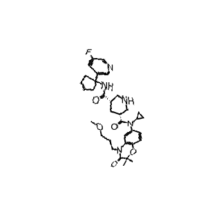 COCCCN1C(=O)C(C)(C)Oc2ccc(N(C(=O)[C@H]3CNC[C@@H](C(=O)NC4(c5cncc(F)c5)CCCC4)C3)C3CC3)cc21